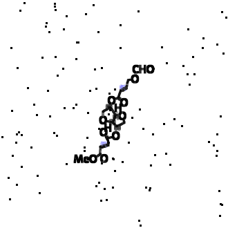 COC(=O)/C=C/C(=O)O[C@H]1CO[C@H]2[C@@H]1OC[C@H]2OC(=O)/C=C/COC=O